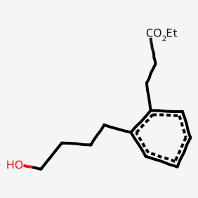 CCOC(=O)CCc1ccccc1CCCCO